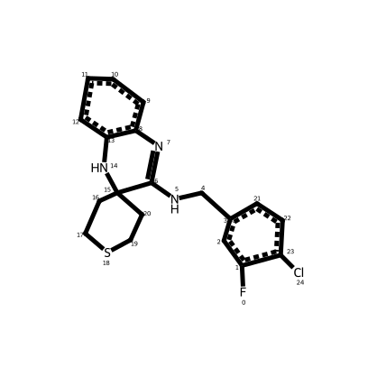 Fc1cc(CNC2=Nc3ccccc3NC23CCSCC3)ccc1Cl